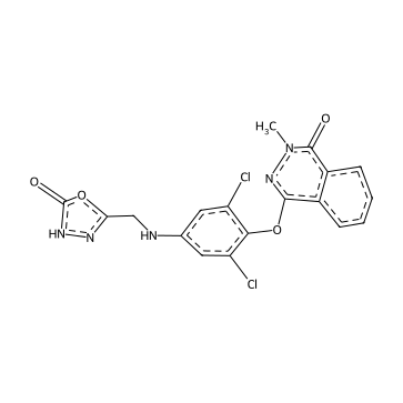 Cn1nc(Oc2c(Cl)cc(NCc3n[nH]c(=O)o3)cc2Cl)c2ccccc2c1=O